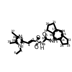 CCn1c(/C=C/S(=O)(=O)NC(=O)Nc2c3c(cc4c2CCC4)CCC3)nc(C)c1C